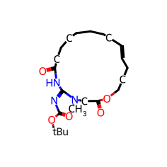 CN1CC(=O)OCCC/C=C/CCCCCCCC(=O)N/C1=N/C(=O)OC(C)(C)C